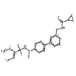 CC(C)(N[S+]([O-])c1ccc(-c2cccc(CNC(=O)C3CC3)c2)cc1)/C(=C/N)NN